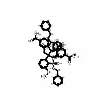 COc1cccc(C(Cc2cccc(C(N)=O)c2)(Cc2cccc(C(N)=O)c2)C2NC(=O)NC(CCc3ccccc3)C2O)c1P(=O)(OCc1ccccc1)OCc1ccccc1